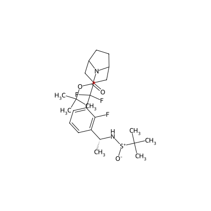 C[C@@H](N[S+]([O-])C(C)(C)C)c1cccc(C(F)(F)C2CC3CCC(C2)N3C(=O)OC(C)(C)C)c1F